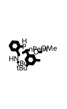 CCCCCC(C)(Pc1ccccc1CNC(C)(C)C)c1cc(C(C)(C)C)cc(C)c1OCOC